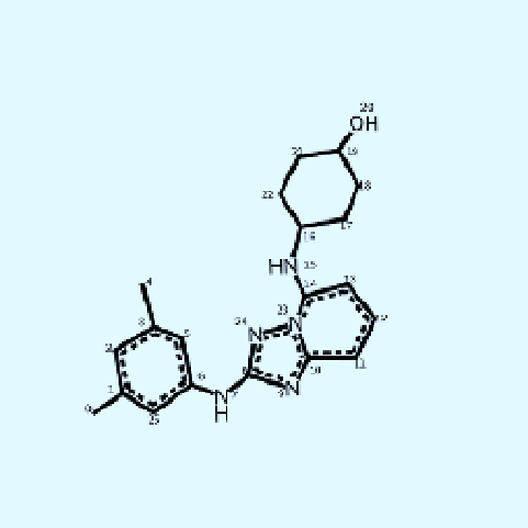 Cc1cc(C)cc(Nc2nc3cccc(NC4CCC(O)CC4)n3n2)c1